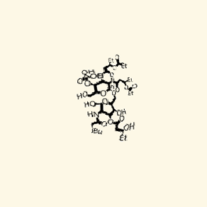 CCC(=O)O[C@H](CC)CC(=O)NC1[C@H](OCC2O[C@H](O)C(NC(=O)C[C@H](C)CC)[C@@H](OC(=O)C[C@H](O)CC)[C@@H]2O)OC(CO)[C@@H](OP(=O)(O)O)[C@@H]1OC(=O)C[C@@H](CC)OC(=O)CC